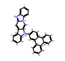 c1ccc2c(c1)nc1cc3c4ccccc4n(-c4ccc5c6ccccc6c6ccccc6c5c4)c3cn12